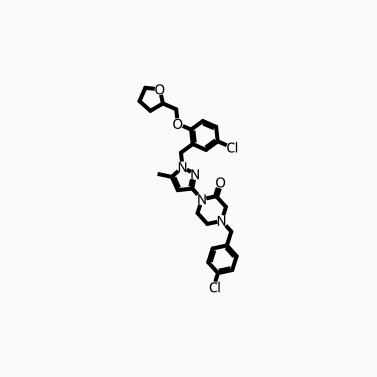 Cc1cc(N2CCN(Cc3ccc(Cl)cc3)CC2=O)nn1Cc1cc(Cl)ccc1OCC1CCCO1